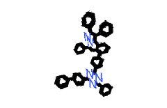 c1ccc(-c2ccc(-c3nc(-c4ccccc4)nc(-c4ccc(-c5cccc6c5cc(-c5ccccc5)n5nc(-c7ccccc7)c(-c7ccccc7)c65)cc4)n3)cc2)cc1